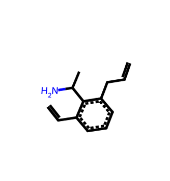 C=CCc1cccc(C=C)c1C(C)N